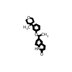 CC(Oc1cccc(C2(C)CCOCC2)c1)c1ccc2[nH]c(=O)ccc2c1